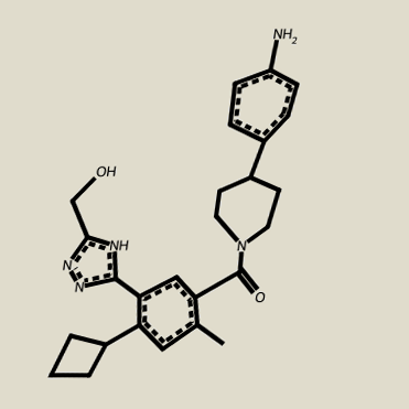 Cc1cc(C2CCC2)c(-c2nnc(CO)[nH]2)cc1C(=O)N1CCC(c2ccc(N)cc2)CC1